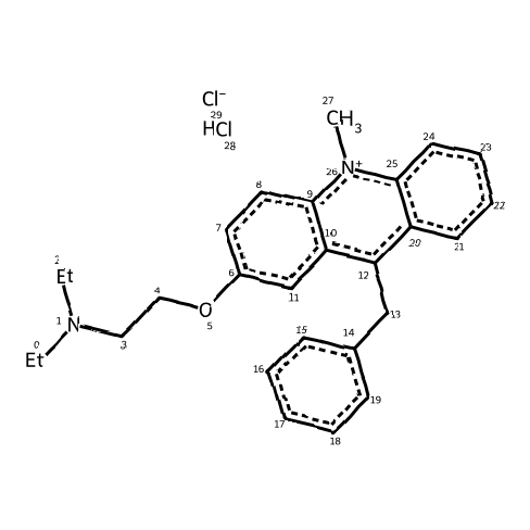 CCN(CC)CCOc1ccc2c(c1)c(Cc1ccccc1)c1ccccc1[n+]2C.Cl.[Cl-]